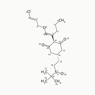 CCCC(=NOCC=CCl)[C@H]1C(=O)C[C@H](CC[S+]([O-])C(C)(C)C)CC1=O